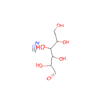 C#N.O=CC(O)C(O)C(O)C(O)CO